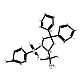 Cc1ccc(S(=O)(=O)N2CC(c3ccccc3)(c3ccccc3)CC2C(C)(C)N)cc1